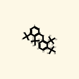 CC(C)(C)c1cccc(Cc2cccc(C(C)(C)C)c2C(C)(C)C)c1C(C)(C)C